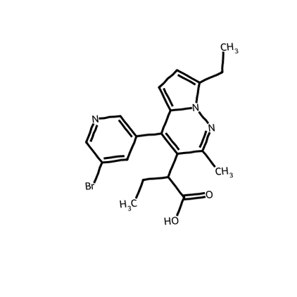 CCc1ccc2c(-c3cncc(Br)c3)c(C(CC)C(=O)O)c(C)nn12